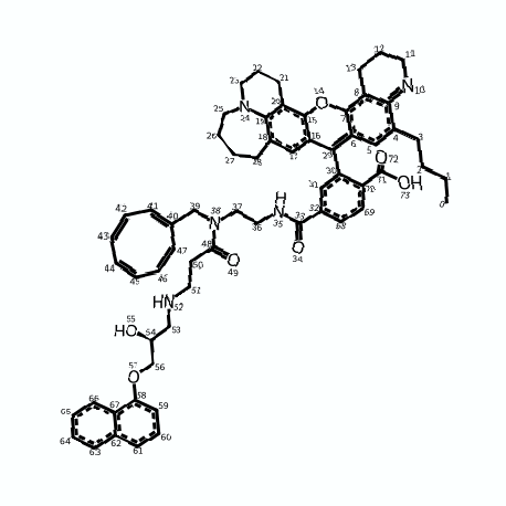 CCCCc1cc2c(c3c1=NCCC3)Oc1c(cc3c4c1CCCN4CCCC3)C=2c1cc(C(=O)NCCN(CC2=C/C=C\C=C/C=C\2)C(=O)CCNC[C@H](O)COc2cccc3ccccc23)ccc1C(=O)O